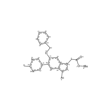 CC(=O)c1cn(CC(=O)OC(C)(C)C)c2cc(OCc3ccccc3)c(-c3cnc(C)nc3)cc12